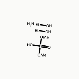 CCO.CCO.COP(=O)(O)OC.N